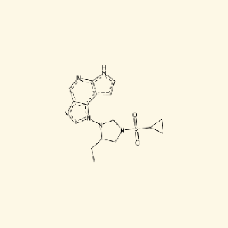 CCC1CN(S(=O)(=O)C2CC2)CN1n1cnc2cnc3[nH]ccc3c21